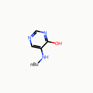 CCCCNc1cncnc1O